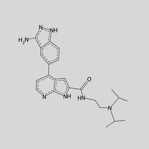 CC(C)N(CCNC(=O)c1cc2c(-c3ccc4[nH]nc(N)c4c3)ccnc2[nH]1)C(C)C